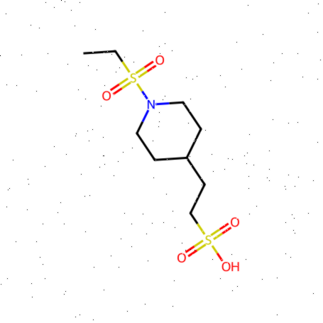 CCS(=O)(=O)N1CCC(CCS(=O)(=O)O)CC1